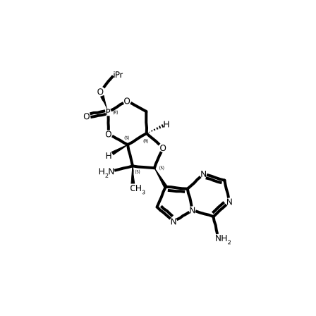 CC(C)O[P@@]1(=O)OC[C@H]2O[C@@H](c3cnn4c(N)ncnc34)[C@](C)(N)[C@@H]2O1